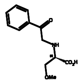 COC[C@H](NCC(=O)c1ccccc1)C(=O)O